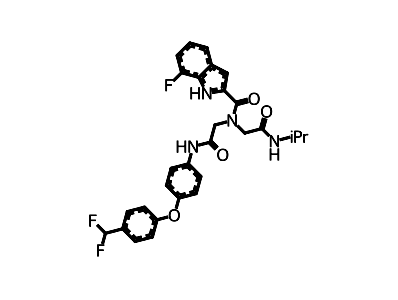 CC(C)NC(=O)CN(CC(=O)Nc1ccc(Oc2ccc(C(F)F)cc2)cc1)C(=O)c1cc2cccc(F)c2[nH]1